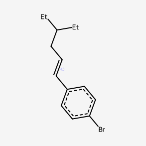 CCC(CC)C/C=C/c1ccc(Br)cc1